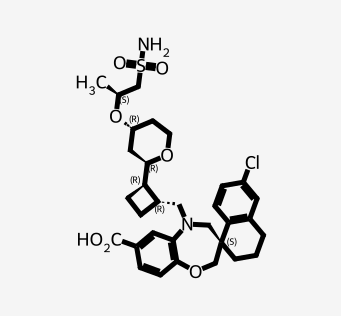 C[C@@H](CS(N)(=O)=O)O[C@@H]1CCO[C@@H]([C@@H]2CC[C@H]2CN2C[C@@]3(CCCc4cc(Cl)ccc43)COc3ccc(C(=O)O)cc32)C1